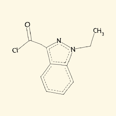 CCn1nc(C(=O)Cl)c2ccccc21